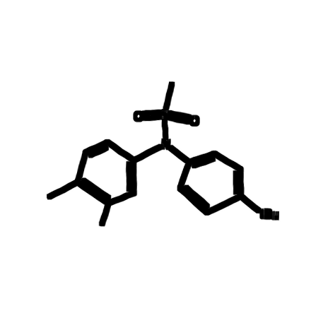 Cc1ccc(N(c2ccc(C(C)(C)C)cc2)S(C)(=O)=O)cc1C